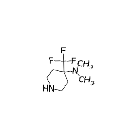 CN(C)C1(C(F)(F)F)CCNCC1